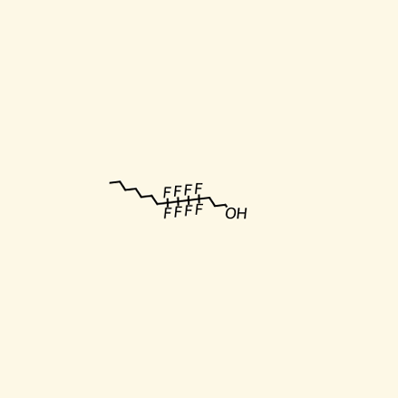 CCCCCCCC(F)(F)C(F)(F)C(F)(F)C(F)(F)CCCO